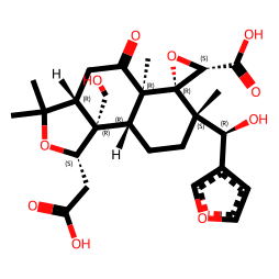 CC1(C)O[C@@H](CC(=O)O)[C@]2(CO)[C@H]3CC[C@@](C)([C@@H](O)c4ccoc4)[C@@]4(O[C@@H]4C(=O)O)[C@]3(C)C(=O)C[C@@H]12